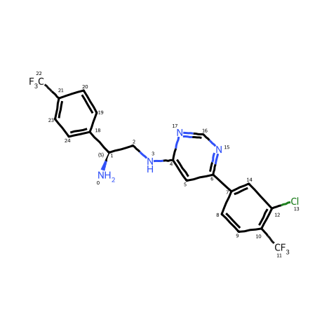 N[C@H](CNc1cc(-c2ccc(C(F)(F)F)c(Cl)c2)ncn1)c1ccc(C(F)(F)F)cc1